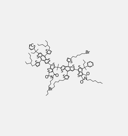 CCCCCCCCN1C(=O)c2sc3c(-c4cc5c(-c6ccc(CC(CC)CCCC)s6)c6sc(C(C)(CC)c7ccccc7)cc6c(-c6ccc(CC(CC)CCCC)s6)c5s4)sc(C(C)(C)c4cc5c(-c6ccc(CCCCCCBr)s6)c6sc(-c7sc(C(C)(CCC)c8ccccc8)c8c9c(sc78)C(=O)N(CCCCCCC)C9=O)cc6c(-c6ccc(CCCCCCBr)s6)c5s4)c3c2C1=O